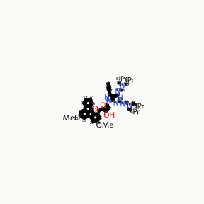 CC#Cc1nn(C2CC(O)C(COC(c3ccccc3)(c3ccc(OC)cc3)c3ccc(OC)cc3)O2)c2nc(/N=C/N(CC(C)C)CC(C)C)nc(/N=C/N(CC(C)C)CC(C)C)c12